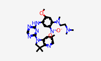 COc1cc(N(C)CCN(C)C)c([N+](=O)[O-])cc1Nc1ncnc(N2CC(C)(C)c3ncc(C)cc32)n1